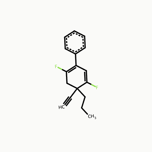 C#CC1(CCC)CC(F)=C(c2ccccc2)C=C1F